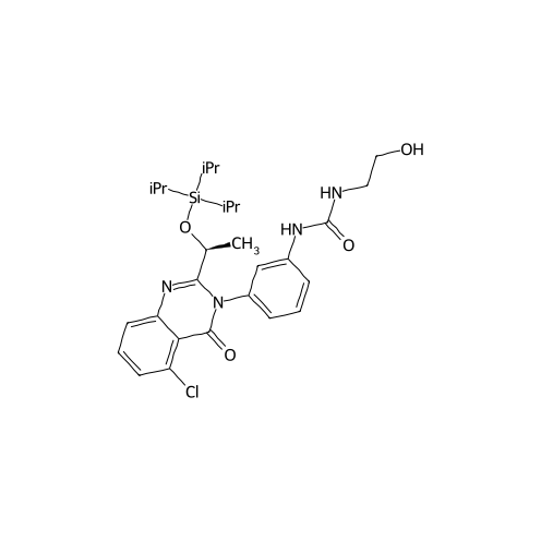 CC(C)[Si](O[C@@H](C)c1nc2cccc(Cl)c2c(=O)n1-c1cccc(NC(=O)NCCO)c1)(C(C)C)C(C)C